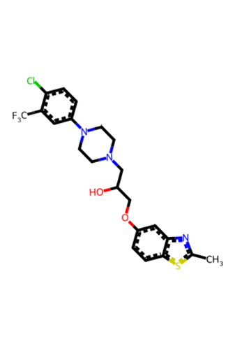 Cc1nc2cc(OCC(O)CN3C[CH]N(c4ccc(Cl)c(C(F)(F)F)c4)CC3)ccc2s1